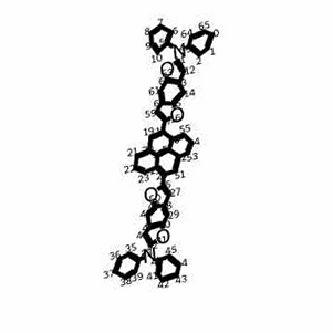 c1ccc(N(c2ccccc2)c2cc3cc4oc(-c5cc6cccc7c(-c8cc9cc%10oc(N(c%11ccccc%11)c%11ccccc%11)cc%10cc9o8)cc8cccc5c8c67)cc4cc3o2)cc1